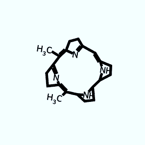 CC1=C2CCC(=N2)C=C2CCC(N2)C2CCC(N2)C(C)=C2CCC1=N2